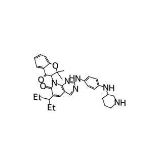 CCC(CC)c1cc2cnc(Nc3ccc(NC4CCCNC4)cc3)nc2n(C2C(=O)c3ccccc3OC2(C)C)c1=O